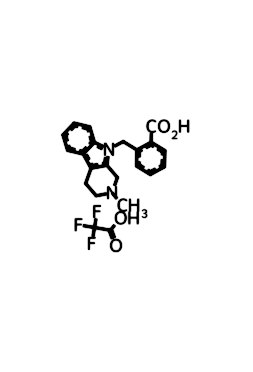 CN1CCc2c(n(Cc3ccccc3C(=O)O)c3ccccc23)C1.O=C(O)C(F)(F)F